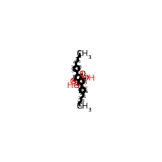 CCCCCc1ccc(C2=CC(=O)c3c(O)c(-c4ccc(CCCCC)cc4)cc(O)c3C2=O)cc1